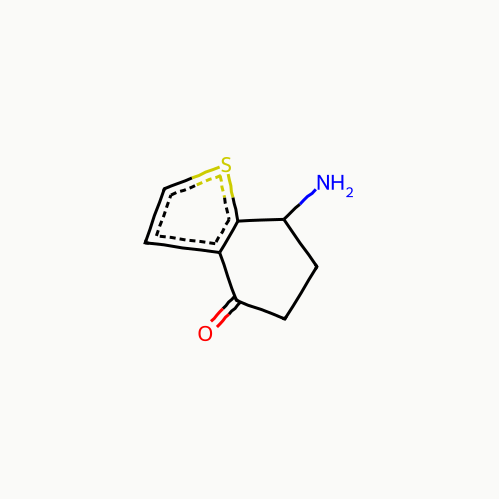 NC1CCC(=O)c2ccsc21